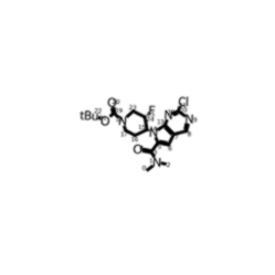 CN(C)C(=O)c1cc2cnc(Cl)nc2n1[C@@H]1CCN(C(=O)OC(C)(C)C)C[C@@H]1F